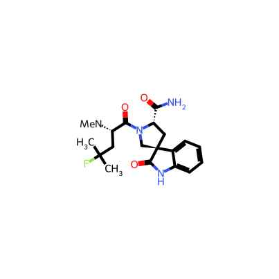 CN[C@@H](CC(C)(C)F)C(=O)N1C[C@]2(C[C@H]1C(N)=O)C(=O)Nc1ccccc12